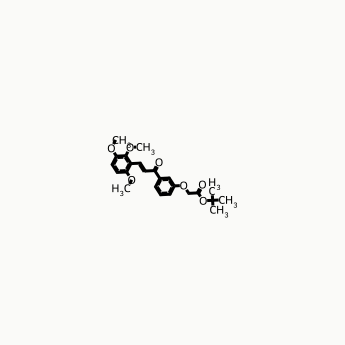 COc1ccc(OC)c(OC)c1C=CC(=O)c1cccc(OCC(=O)OC(C)(C)C)c1